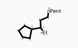 [CH2]CCCCCCC(C[CH2])C1CCCC1